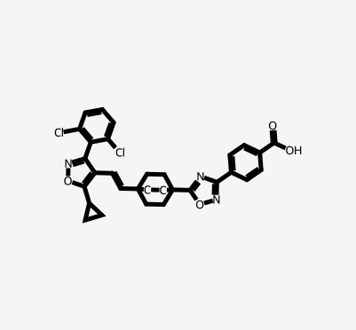 O=C(O)c1ccc(-c2noc(C34CCC(/C=C/c5c(-c6c(Cl)cccc6Cl)noc5C5CC5)(CC3)CC4)n2)cc1